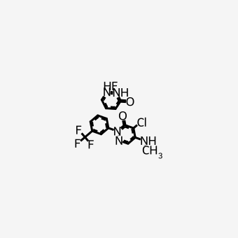 CNc1cnn(-c2cccc(C(F)(F)F)c2)c(=O)c1Cl.F.O=c1cccn[nH]1